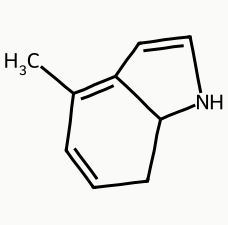 CC1=C2C=CNC2CC=C1